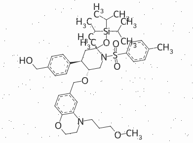 COCCCN1CCOc2ccc(CO[C@H]3CN(S(=O)(=O)c4ccc(C)cc4)[C@@](C)(O[Si](C(C)C)(C(C)C)C(C)C)C[C@@H]3c3ccc(CO)cc3)cc21